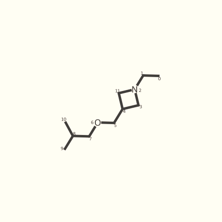 CCN1CC(COCC(C)C)C1